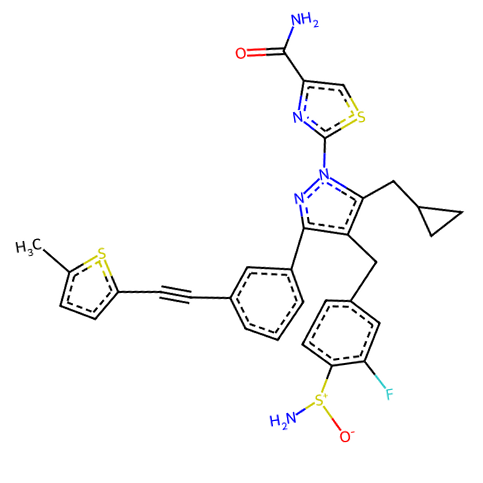 Cc1ccc(C#Cc2cccc(-c3nn(-c4nc(C(N)=O)cs4)c(CC4CC4)c3Cc3ccc([S+](N)[O-])c(F)c3)c2)s1